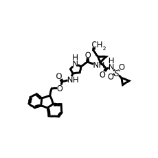 C=CC1CC1(NC(=O)C1CC(NC(=O)OCC2c3ccccc3-c3ccccc32)CN1)C(=O)NS(=O)(=O)C1CC1